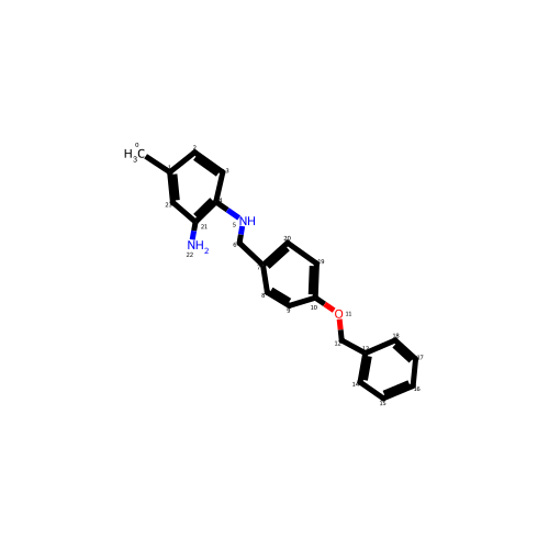 Cc1ccc(NCc2ccc(OCc3ccccc3)cc2)c(N)c1